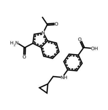 CC(=O)n1cc(C(N)=O)c2ccccc21.O=C(O)c1ccc(NCC2CC2)cc1